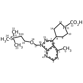 Cc1ccnc2c1c(C1CCN(C(=O)O)CC1)nn2COCC[Si](C)(C)C